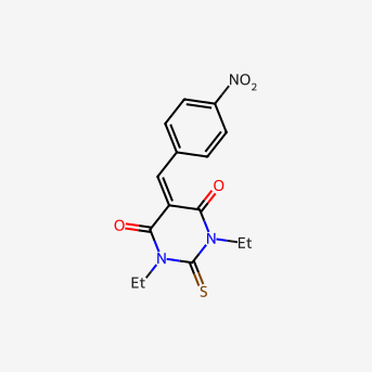 CCN1C(=O)C(=Cc2ccc([N+](=O)[O-])cc2)C(=O)N(CC)C1=S